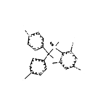 Cc1cc(C)c(P(C)(=O)C(C)(c2ccc(F)cc2)c2ccc(F)cc2)c(C)c1